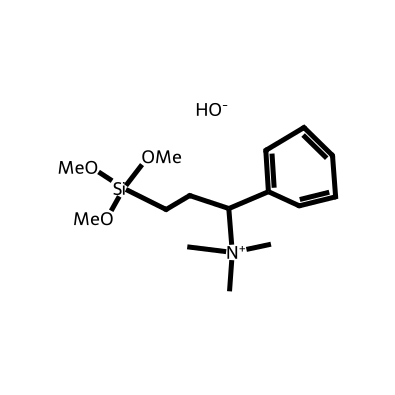 CO[Si](CCC(c1ccccc1)[N+](C)(C)C)(OC)OC.[OH-]